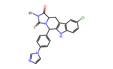 CC(C)N1C(=O)C2Cc3c([nH]c4ccc(Cl)cc34)C(c3ccc(-n4ccnc4)cc3)N2C1=S